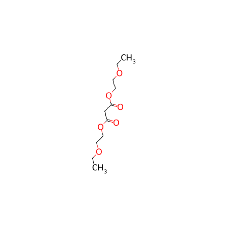 CCOCCOC(=O)CC(=O)OCCOCC